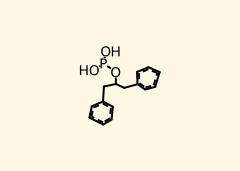 OP(O)OC(Cc1ccccc1)Cc1ccccc1